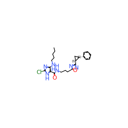 CCCCCNc1nc(Cl)[nH]c1C(=O)NCCCc1nc([C@H]2C[C@@H]2c2ccccc2)no1